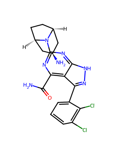 NC(=O)c1nc(N2[C@@H]3CC[C@H]2C[C@@H](N)C3)nc2[nH]nc(-c3cccc(Cl)c3Cl)c12